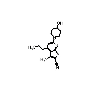 CCCc1cc(N2CCC(O)CC2)nc2sc(C#N)c(N)c12